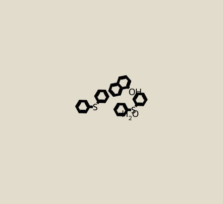 O.Oc1cccc2ccccc12.c1ccc(Sc2ccccc2)cc1.c1ccc(Sc2ccccc2)cc1